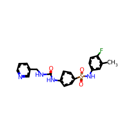 Cc1cc(NS(=O)(=O)c2ccc(NC(=O)NCc3cccnc3)cc2)ccc1F